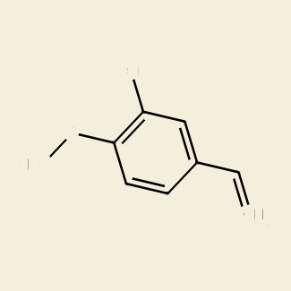 C=[C]c1ccc(SC)c(C)c1